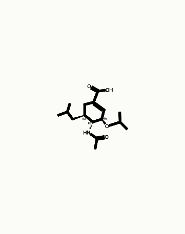 CC(=O)N[C@@H]1[C@@H](CC(C)C)CC(C(=O)O)=C[C@H]1OC(C)C